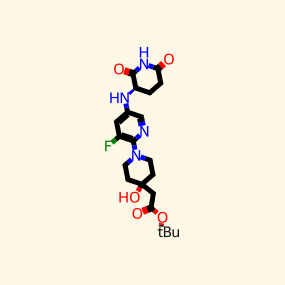 CC(C)(C)OC(=O)CC1(O)CCN(c2ncc(N[C@@H]3CCC(=O)NC3=O)cc2F)CC1